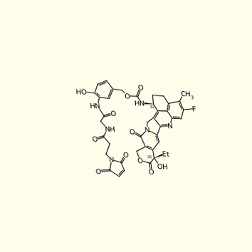 CC[C@@]1(O)C(=O)OCc2c1cc1n(c2=O)Cc2c-1nc1cc(F)c(C)c3c1c2[C@@H](NC(=O)OCc1ccc(O)c(NC(=O)CNC(=O)CCN2C(=O)C=CC2=O)c1)CC3